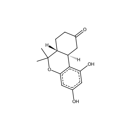 CC1(C)Oc2cc(O)cc(O)c2[C@@H]2CC(=O)CC[C@H]21